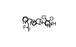 O=c1[nH]ncc(N2CCc3c(cnn3Cc3cccnc3CC(F)F)C2)c1Cl